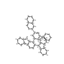 c1ccc(-c2nc(-c3ccc4ccccc4c3)nc(-c3c(-n4c5ccccc5c5ccccc54)ccc4c3oc3ccccc34)n2)cc1